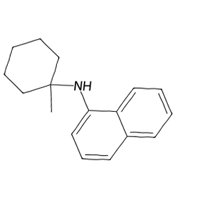 CC1(Nc2cccc3ccccc23)CCCCC1